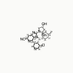 CC(C)[C@@H]1C[C@@H](O)CN1c1nc2cc(C#N)nc(-c3cncc(Cl)c3)c2n1C[C@H]1CC[C@H](C)CC1